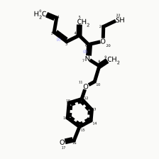 C=C/C=C\C(=C)/C(=N/C(=C)COc1ccc(C=O)cc1)OCS